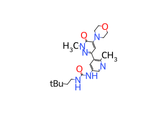 Cc1ncc(NC(=O)NCCC(C)(C)C)cc1-c1cc(N2CCOCC2)c(=O)n(C)n1